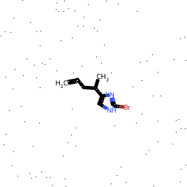 C=CCC(C)c1c[nH]c(Br)n1